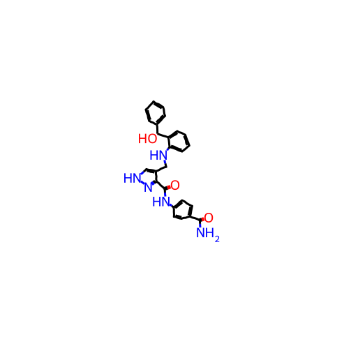 NC(=O)c1ccc(NC(=O)c2n[nH]cc2CNc2ccccc2C(O)c2ccccc2)cc1